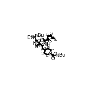 CCCCN(CC)c1nnc(C(CC2CCN(C(=O)OC(C)(C)C)CC2)NC(=O)c2ccc(C)s2)o1